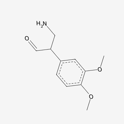 COc1ccc(C(C=O)CN)cc1OC